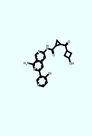 CCc1ccncc1-c1cc2cc(NC(=O)C3CC3C(=O)C3CC(O)C3)ncc2c(N)n1